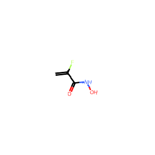 C=C(F)C(=O)NO